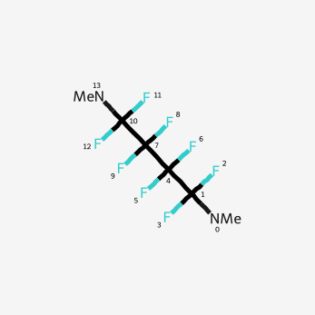 CNC(F)(F)C(F)(F)C(F)(F)C(F)(F)NC